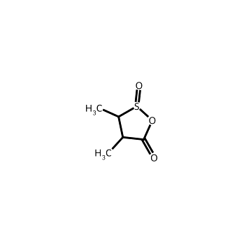 CC1C(=O)OS(=O)C1C